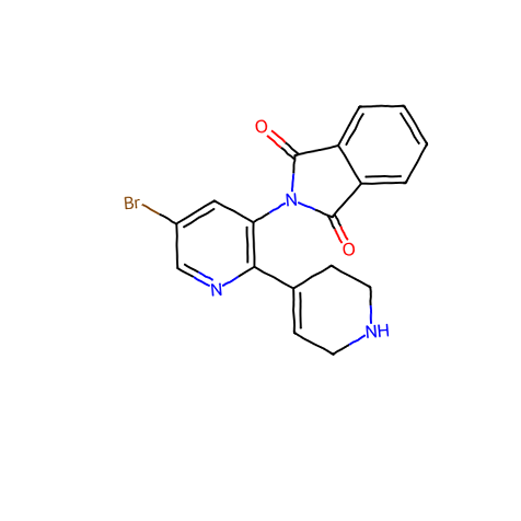 O=C1c2ccccc2C(=O)N1c1cc(Br)cnc1C1=CCNCC1